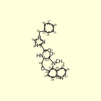 CN1C(=O)[C@@H](NC(=O)c2ncn(Cc3ccccc3)n2)COc2ccc3ncccc3c21